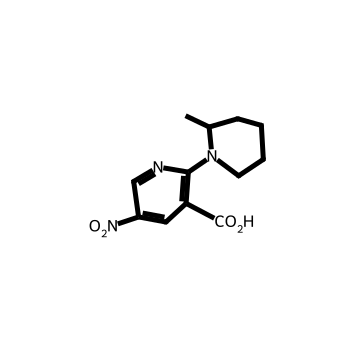 CC1CCCCN1c1ncc([N+](=O)[O-])cc1C(=O)O